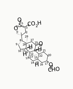 C[C@H](CC(C(=O)O)=S(=O)=O)[C@H]1CC[C@H]2[C@@H]3CC[C@@H]4C[C@H](OC=O)CC[C@]4(C)[C@H]3C(=O)C[C@]12C